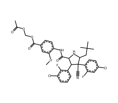 COc1cc(C(=O)OCOC(C)=O)ccc1NC(=O)C1NC(CC(C)(C)C)C(C#N)(c2ccc(Cl)cc2F)C1c1cccc(Cl)c1F